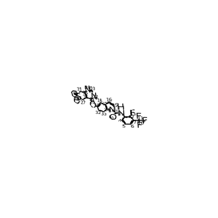 O=C(Nc1cccc(C(F)(F)F)c1F)n1ccc2cc(Oc3ncnc4c3CS(=O)(=O)C4)ccc21